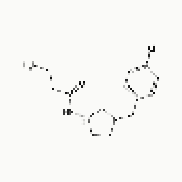 NCCC(=O)N[C@H]1CCN(Cc2ccc(Cl)cc2)C1